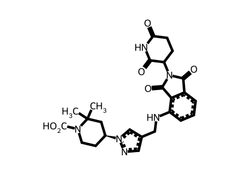 CC1(C)C[C@@H](n2cc(CNc3cccc4c3C(=O)N(C3CCC(=O)NC3=O)C4=O)cn2)CCN1C(=O)O